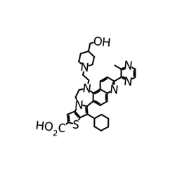 Cc1nccnc1-c1ccc2c3c(ccc2n1)-c1c(C2CCCCC2)c2sc(C(=O)O)cc2n1CCN3CCN1CCC(CO)CC1